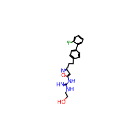 N=C(NCCO)Nc1cc(CCc2ccc(-c3ccccc3F)cc2)no1